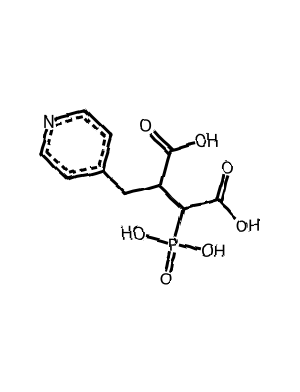 O=C(O)C(Cc1ccncc1)C(C(=O)O)P(=O)(O)O